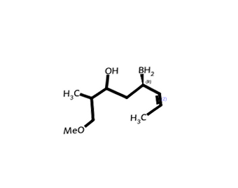 B[C@@H](/C=C\C)CC(O)C(C)COC